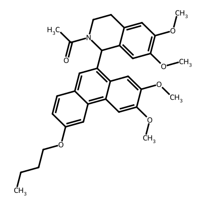 CCCCOc1ccc2cc(C3c4cc(OC)c(OC)cc4CCN3C(C)=O)c3cc(OC)c(OC)cc3c2c1